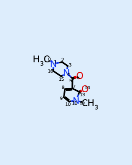 CN1CCN(C(=O)c2cccn(C)c2=O)CC1